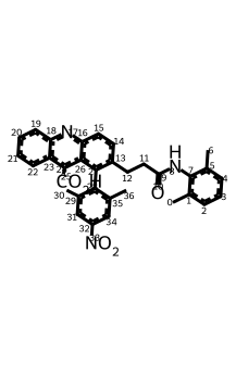 Cc1cccc(C)c1NC(=O)CCc1ccc2nc3ccccc3c(C(=O)O)c2c1-c1c(C)cc([N+](=O)[O-])cc1C